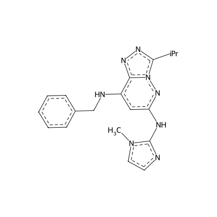 CC(C)c1nnc2c(NCc3ccccc3)cc(Nc3nccn3C)nn12